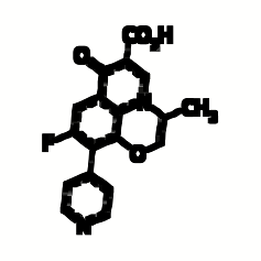 CC1=COc2c(-c3ccncc3)c(F)cc3c(=O)c(C(=O)O)cn1c23